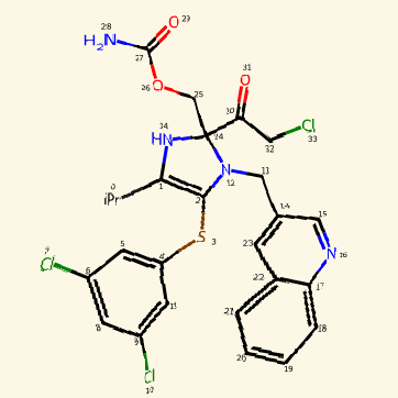 CC(C)C1=C(Sc2cc(Cl)cc(Cl)c2)N(Cc2cnc3ccccc3c2)C(COC(N)=O)(C(=O)CCl)N1